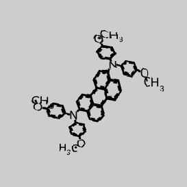 COc1ccc(N(c2ccc(OC)cc2)c2ccc3c4ccc(N(c5ccc(OC)cc5)c5ccc(OC)cc5)c5cccc(c6cccc2c63)c54)cc1